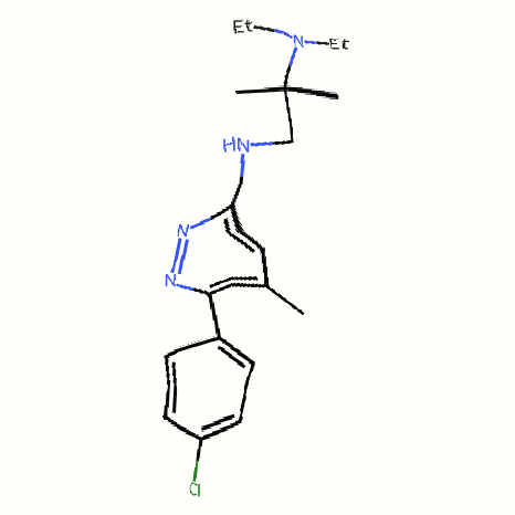 CCN(CC)C(C)(C)CNc1cc(C)c(-c2ccc(Cl)cc2)nn1